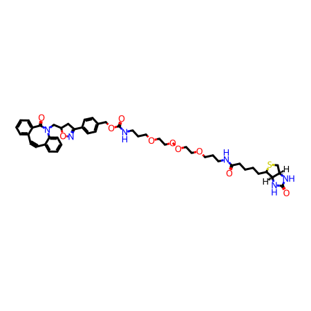 O=C(CCCCC1SC[C@@H]2NC(=O)N[C@H]12)NCCCOCCOOCCOCCCNC(=O)OCc1ccc(C2=NOC(CN3C(=O)c4ccccc4C#Cc4ccccc43)C2)cc1